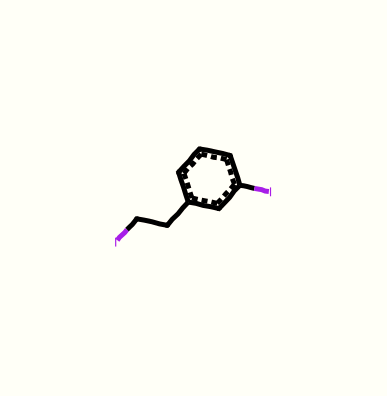 ICCc1cccc(I)c1